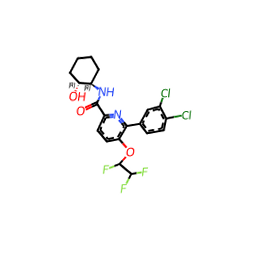 O=C(N[C@@H]1CCCC[C@H]1O)c1ccc(OC(F)C(F)F)c(-c2ccc(Cl)c(Cl)c2)n1